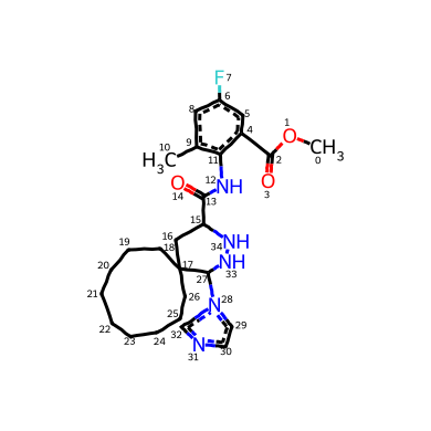 COC(=O)c1cc(F)cc(C)c1NC(=O)C1CC2(CCCCCCCCC2)C(n2ccnc2)NN1